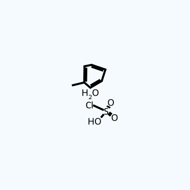 Cc1ccccc1.O.O=S(=O)(O)Cl